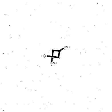 CNC1CC(C)(NC)C1